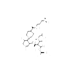 C=C(CC)NC(N)C(C(=O)NC1CNCC(F)C1N1CCC(C(=O)NCCCN(C)C)CC1)C(C)N(C)CC(F)CC